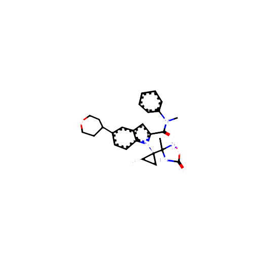 C[C@H]1C[C@@]1(n1c(C(=O)N(C)c2ccccc2)cc2cc(C3CCOCC3)ccc21)C1(C)NOC(=O)N1